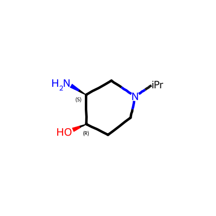 CC(C)N1CC[C@@H](O)[C@@H](N)C1